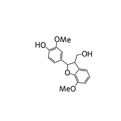 COc1cc(C2Oc3c(OC)cccc3C2CO)ccc1O